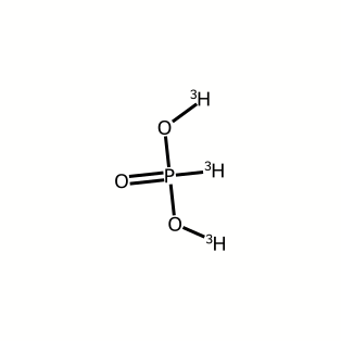 [3H]OP([3H])(=O)O[3H]